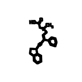 CN(C/C=C(/C#CC1CCc2ccccc21)c1ccccc1)CC(=O)O